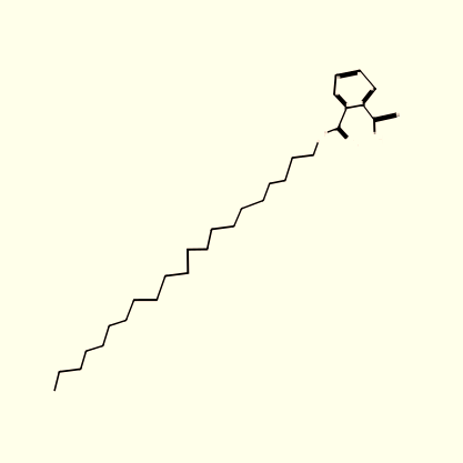 CCCCCCCCCCCCCCCCCCCCCOC(=O)c1ccccc1C(=O)O